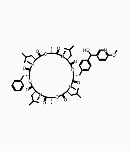 COc1ccc(C(O)c2ccc(C[C@H]3OC(=O)[C@H](CC(C)C)N(C)C(=O)[C@@H](C)OC(=O)[C@H](CC(C)C)N(C)C(=O)[C@@H](Cc4ccccc4)OC(=O)[C@H](CC(C)C)N(C)C(=O)[C@@H](C)OC(=O)[C@H](CC(C)C)N(C)C3=O)cc2)cn1